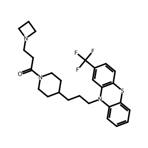 O=C(CCN1CCC1)N1CCC(CCCN2c3ccccc3Sc3ccc(C(F)(F)F)cc32)CC1